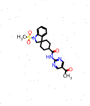 CC(=O)c1cnc(NC(=O)C2CCC3(CC2)CN(S(C)(=O)=O)c2ccccc23)nc1